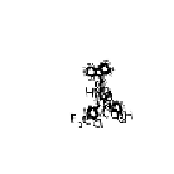 O=C(O)CN(C(=O)[C@H](CCc1ccc(C(F)(F)F)c(Cl)c1)NC(=O)OCC1c2ccccc2-c2ccccc21)c1cccc(Cl)c1